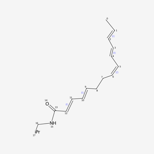 C/C=C/C=C/C=C\CC/C=C/C=C/C(=O)NCC(C)C